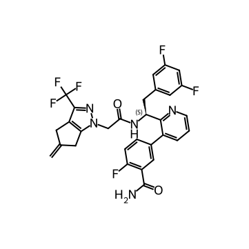 C=C1Cc2c(C(F)(F)F)nn(CC(=O)N[C@@H](Cc3cc(F)cc(F)c3)c3ncccc3-c3ccc(F)c(C(N)=O)c3)c2C1